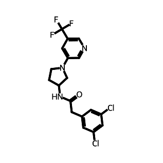 O=C(Cc1cc(Cl)cc(Cl)c1)NC1CCN(c2cncc(C(F)(F)F)c2)C1